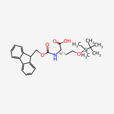 CC(C)(C)[Si](C)(C)OCC[C@H](NC(=O)OCC1c2ccccc2-c2ccccc21)C(=O)O